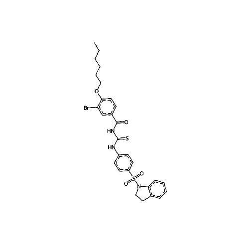 CCCCCCOc1ccc(C(=O)NC(=S)Nc2ccc(S(=O)(=O)N3CCc4ccccc43)cc2)cc1Br